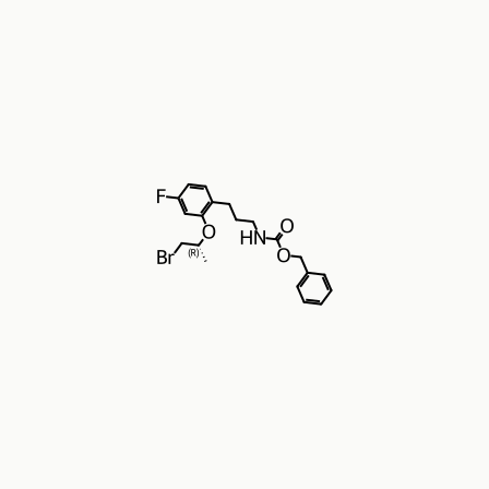 C[C@H](CBr)Oc1cc(F)ccc1CCCNC(=O)OCc1ccccc1